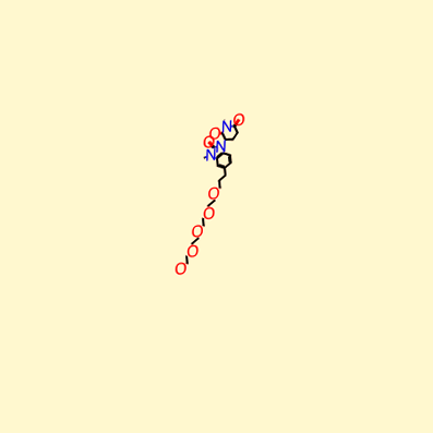 CN1C(=O)CCC(n2c(=O)n(C)c3cc(CCCOCCOCCOCCOCC=O)ccc32)C1=O